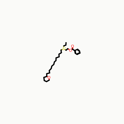 CCC[S+](CCCCCCCCCCCCCC1CCCCO1)CCOC(=O)c1ccccc1